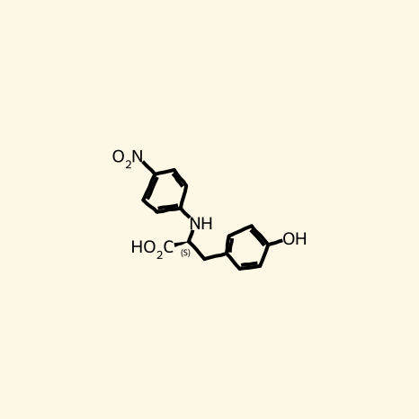 O=C(O)[C@H](Cc1ccc(O)cc1)Nc1ccc([N+](=O)[O-])cc1